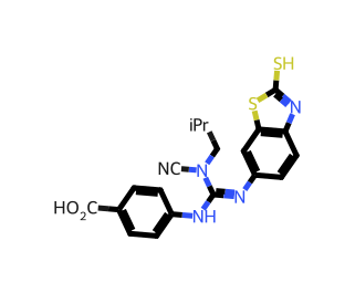 CC(C)CN(C#N)C(=Nc1ccc2nc(S)sc2c1)Nc1ccc(C(=O)O)cc1